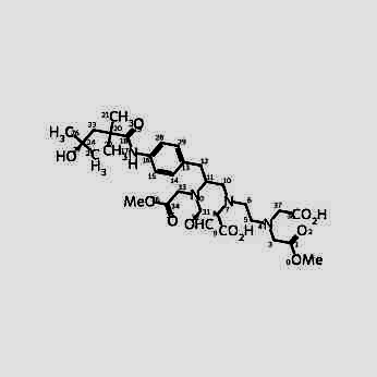 COC(=O)CN(CCN(CC(=O)O)CC(Cc1ccc(NC(=O)C(C)(C)CC(C)(C)O)cc1)N(CC=O)CC(=O)OC)CC(=O)O